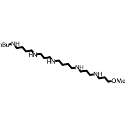 CCCCNCCCCNCCCNCCCCNCCCNCCCOC